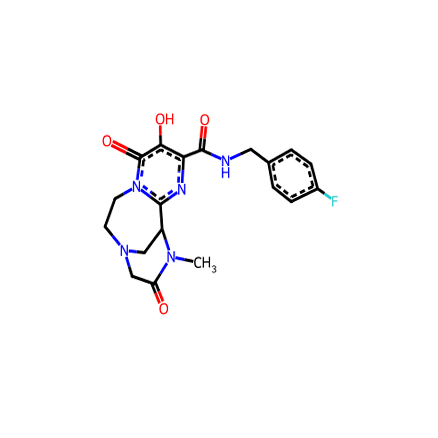 CN1C(=O)CN2CCn3c(nc(C(=O)NCc4ccc(F)cc4)c(O)c3=O)C1C2